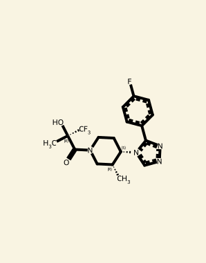 C[C@@H]1CN(C(=O)[C@@](C)(O)C(F)(F)F)CC[C@@H]1n1cnnc1-c1ccc(F)cc1